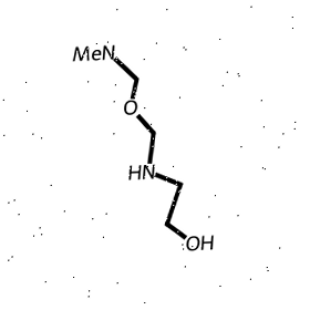 CNCOCNCCO